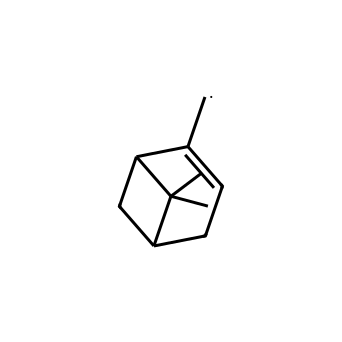 [CH2]C1=CCC2CC1C2(C)C